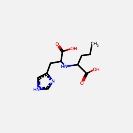 CCCC(NC(Cc1c[nH]cn1)C(=O)O)C(=O)O